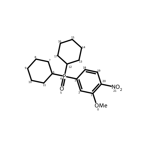 COc1cc(P(=O)(C2CCCCC2)C2CCCCC2)ccc1[N+](=O)[O-]